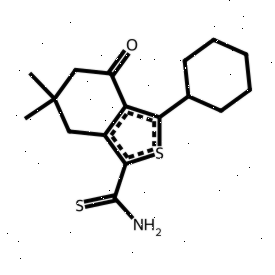 CC1(C)CC(=O)c2c(C3CCCCC3)sc(C(N)=S)c2C1